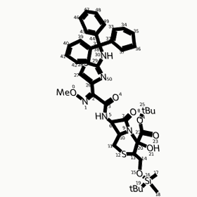 CON=C(C(=O)NC1C(=O)N2C1CSC(CO[Si](C)(C)C(C)(C)C)C2(O)C(=O)OC(C)(C)C)c1csc(NC(c2ccccc2)(c2ccccc2)c2ccccc2)n1